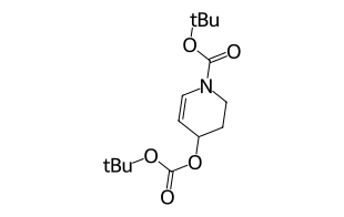 CC(C)(C)OC(=O)OC1C=CN(C(=O)OC(C)(C)C)CC1